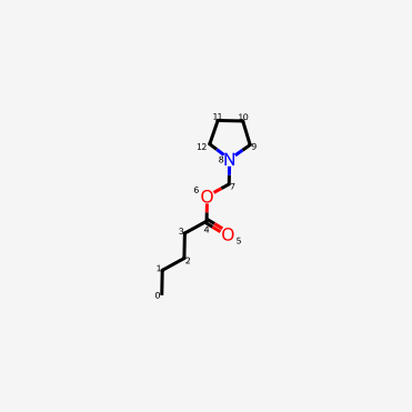 CCCCC(=O)OCN1CCCC1